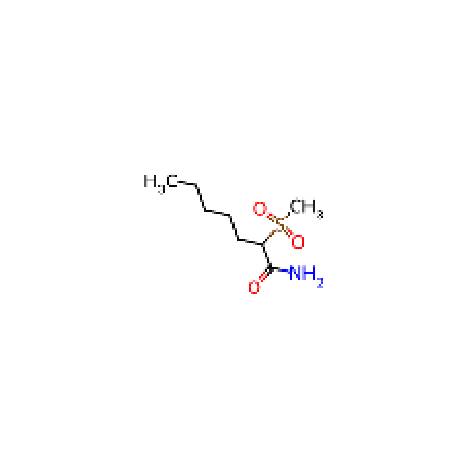 CCCCCC(C(N)=O)S(C)(=O)=O